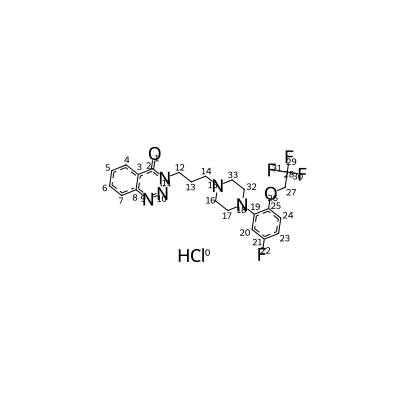 Cl.O=c1c2ccccc2nnn1CCCN1CCN(c2cc(F)ccc2OCC(F)(F)F)CC1